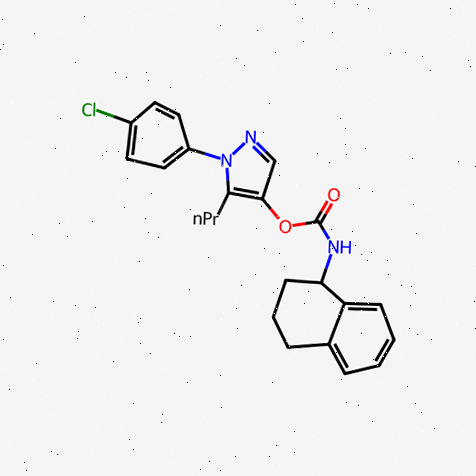 CCCc1c(OC(=O)NC2CCCc3ccccc32)cnn1-c1ccc(Cl)cc1